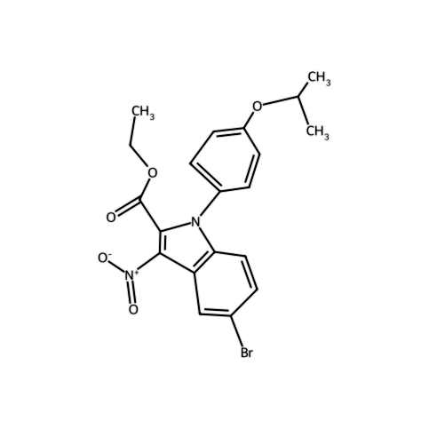 CCOC(=O)c1c([N+](=O)[O-])c2cc(Br)ccc2n1-c1ccc(OC(C)C)cc1